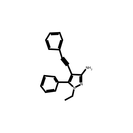 CCn1nc(N)c(C#Cc2ccccc2)c1-c1ccccc1